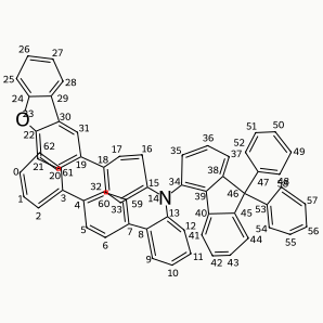 c1ccc(-c2ccc(-c3ccccc3N(c3ccc(-c4ccc5oc6ccccc6c5c4)cc3)c3cccc4c3-c3ccccc3C4(c3ccccc3)c3ccccc3)cc2)cc1